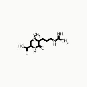 CC(=N)NCCCC1C(=O)NC(C(=O)O)CN1C